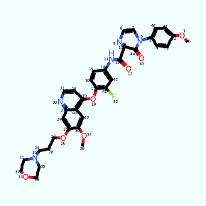 COc1ccc(-n2ccnc(C(=O)Nc3ccc(Oc4ccnc5cc(OCCCN6CCOCC6)c(OC)cc45)c(F)c3)c2=O)cc1